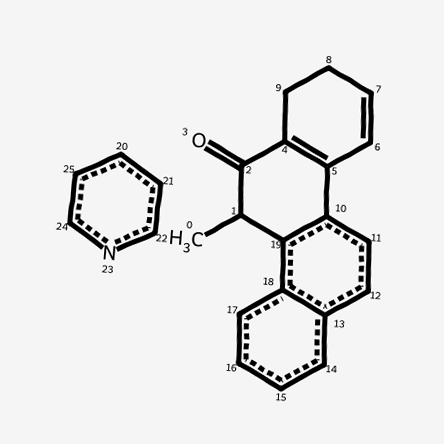 CC1C(=O)C2=C(C=CCC2)c2ccc3ccccc3c21.c1ccncc1